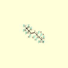 F/C(=C\C(F)(F)C(F)(F)C(F)(F)F)C(F)(F)C(F)(F)F